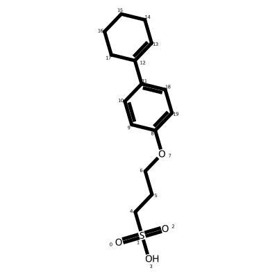 O=S(=O)(O)CCCOc1ccc(C2=CCCCC2)cc1